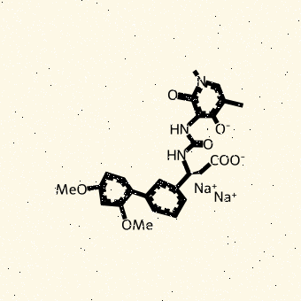 COc1ccc(-c2cccc([C@H](CC(=O)[O-])NC(=O)Nc3c([O-])c(C)cn(C)c3=O)c2)c(OC)c1.[Na+].[Na+]